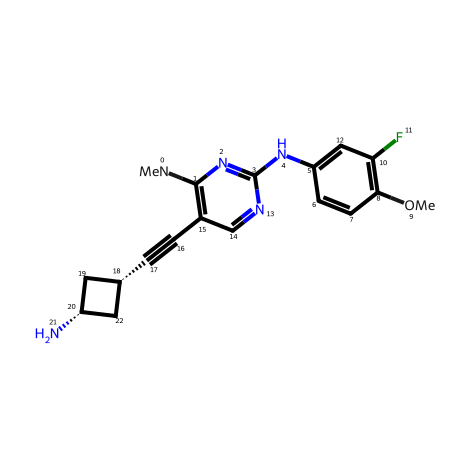 CNc1nc(Nc2ccc(OC)c(F)c2)ncc1C#C[C@H]1C[C@@H](N)C1